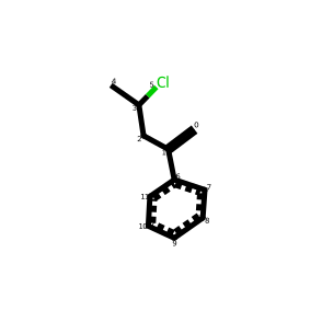 C=C(CC(C)Cl)c1ccccc1